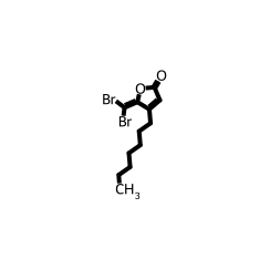 CCCCCCCC1=CC(=O)OC1=C(Br)Br